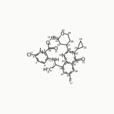 C[C@@H](Nc1ccc(Cl)nc1C(=O)OC(C)(C)C)c1cc(F)cc2c(=O)n(C3CC3)c(C3CCOCC3)nc12